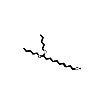 CCCCCOC(CCCCC/C=C/CCO)OCCCCC